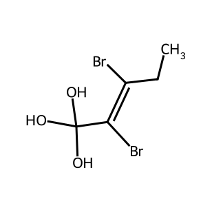 CCC(Br)=C(Br)C(O)(O)O